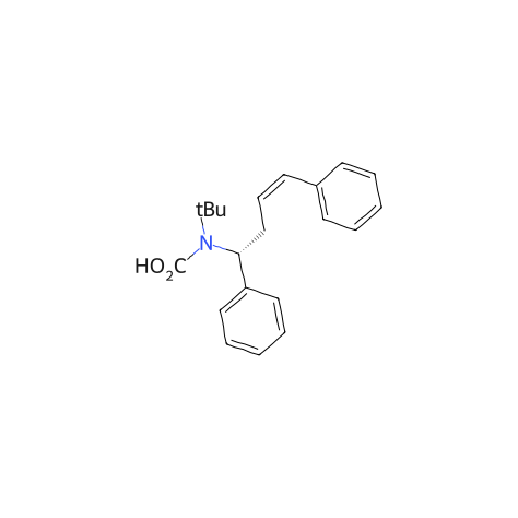 CC(C)(C)N(C(=O)O)[C@H](C/C=C\c1ccccc1)c1ccccc1